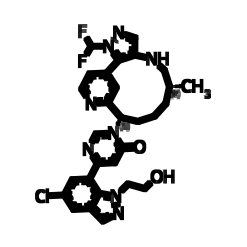 C[C@@H]1CCC[C@H](n2cnc(-c3cc(Cl)cc4cnn(CCO)c34)cc2=O)c2cc(ccn2)-c2c(cnn2C(F)F)NC1